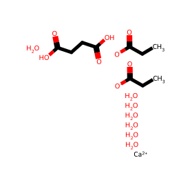 CCC(=O)[O-].CCC(=O)[O-].O.O.O.O.O.O.O.O=C(O)CCC(=O)O.[Ca+2]